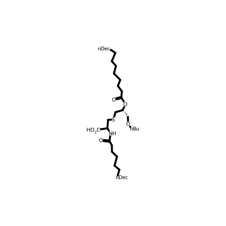 CCCCCCCCCCCCCCCCCC(=O)O[C@H](COCCCC)CSCC(NC(=O)CCCCCCCCCCCCCCC)C(=O)O